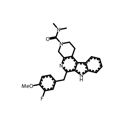 COc1ccc(Cc2nc3c(c4c2[nH]c2ccccc24)CCN(C(=O)N(C)C)C3)cc1F